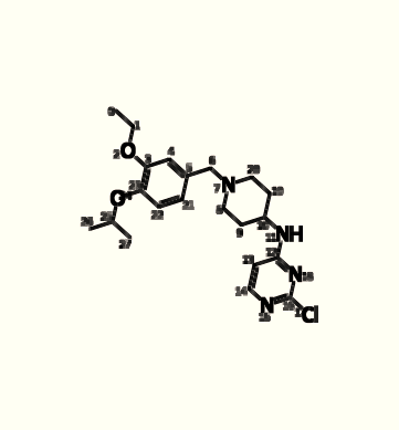 CCOc1cc(CN2CCC(Nc3ccnc(Cl)n3)CC2)ccc1OC(C)C